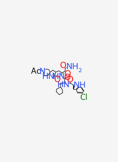 CC(=O)N1CCC2(CC1)CC(CC(NC(=O)C(CC1CCCCC1)NC(=O)c1cc3cc(Cl)ccc3[nH]1)C(=O)C(N)=O)C(=O)N2